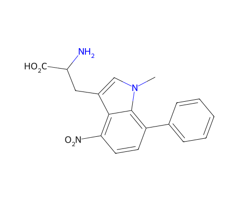 Cn1cc(CC(N)C(=O)O)c2c([N+](=O)[O-])ccc(-c3ccccc3)c21